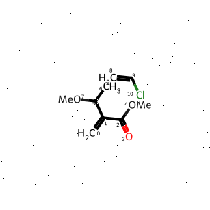 C=C(C(=O)OC)C(C)OC.C=CCl